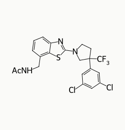 CC(=O)NCc1cccc2nc(N3CCC(c4cc(Cl)cc(Cl)c4)(C(F)(F)F)C3)sc12